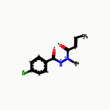 CC=CC(=O)N(NC(=O)c1ccc(Cl)cc1)C(C)(C)C